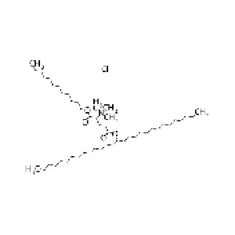 CCCCCCCCCCCCCCC(CCCCCCCCCCCCCC)OC(=O)CCC(C(=O)OCCCCCCCCCCCC)[N+](C)(C)C.[Cl-]